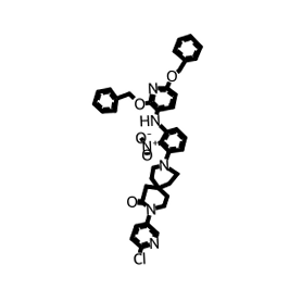 O=C1CC2(CCN(c3cccc(Nc4ccc(OCc5ccccc5)nc4OCc4ccccc4)c3[N+](=O)[O-])CC2)CCN1c1ccc(Cl)nc1